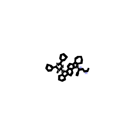 C#C/C(=C\C=C/C)n1c2c(c3ccc4c5c(ccc4c31)C1C=CC=CC1N5C1=NC(c3ccccc3)=NC(c3ccccc3)N1C)C=CCC=C2